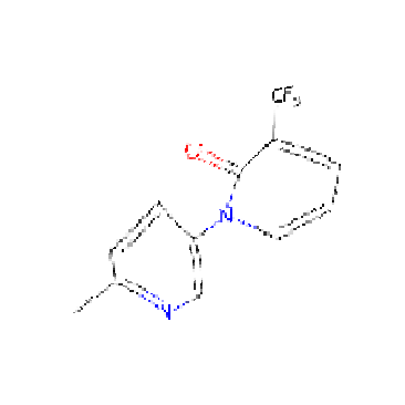 Cc1ccc(-n2cccc(C(F)(F)F)c2=O)cn1